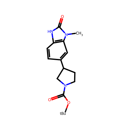 Cn1c(=O)[nH]c2ccc(C3CCN(C(=O)OC(C)(C)C)C3)cc21